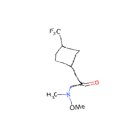 CON(C)C(=O)C1CC(C(F)(F)F)C1